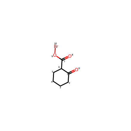 O=C1CCCCC1C(=O)OBr